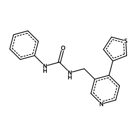 O=C(NCc1cnccc1-c1ccsc1)Nc1ccccc1